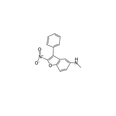 CNc1ccc2oc([N+](=O)[O-])c(-c3ccccc3)c2c1